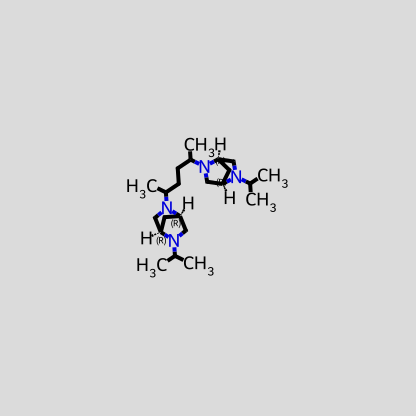 CC(C)N1C[C@H]2C[C@@H]1CN2C(C)CCC(C)N1C[C@H]2C[C@@H]1CN2C(C)C